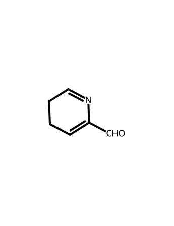 O=CC1=CCCC=N1